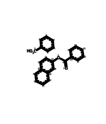 O=C(O)c1ccccc1.O=C(Oc1ccc2ccccc2c1)c1ccccc1